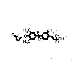 CCC(O)(C=Cc1ccc(C(CC)(CC)c2cc(C)c(OC[C@@H]3CCC(=O)O3)c(C)c2)cc1C)CC